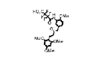 COc1cc(OC)c(C=C[S+]([O-])Cc2ccc(OC)c(NC(=O)C(F)(F)C(F)(F)C(=O)O)c2)c(OC)c1